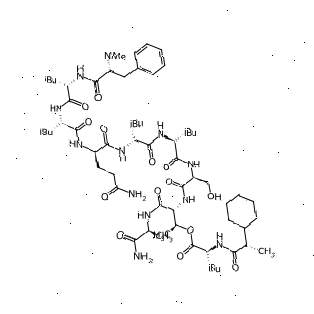 CC[C@@H](C)[C@@H](NC(=O)[C@@H](CCC(N)=O)NC(=O)[C@@H](NC(=O)[C@@H](NC(=O)[C@@H](Cc1ccccc1)NC)[C@@H](C)CC)[C@@H](C)CC)C(=O)N[C@H](C(=O)N[C@@H](CO)C(=O)N[C@@H](C(=O)N[C@@H](C)C(N)=O)[C@H](C)OC(=O)[C@@H](NC(=O)[C@@H](C)C1CCCCC1)[C@@H](C)CC)[C@@H](C)CC